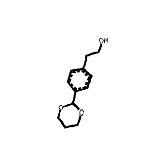 OCCc1ccc(C2OCCCO2)cc1